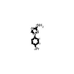 CC(C)c1ccc(-n2cnc(N)n2)cc1